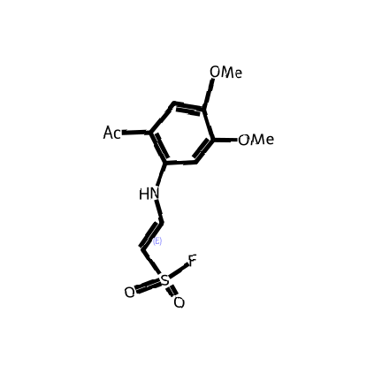 COc1cc(N/C=C/S(=O)(=O)F)c(C(C)=O)cc1OC